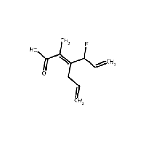 C=CC/C(=C(/C)C(=O)O)C(F)C=C